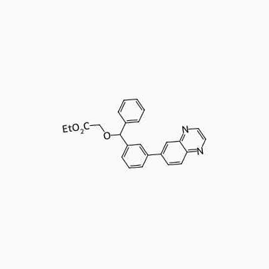 CCOC(=O)COC(c1ccccc1)c1cccc(-c2ccc3nccnc3c2)c1